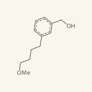 COCCCCc1cccc(CO)c1